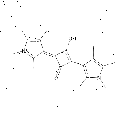 CC1=C(C)[N+](C)=C(C)/C1=C1\C(=O)C(c2c(C)c(C)n(C)c2C)=C1O